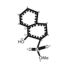 COS(=O)(=O)c1ccc2ccccc2c1O